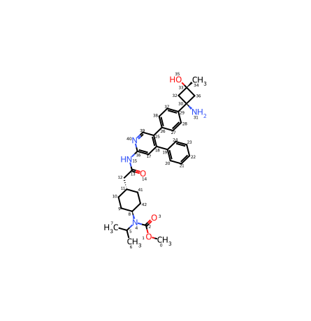 COC(=O)N(C(C)C)[C@H]1CC[C@H](CC(=O)Nc2cc(-c3ccccc3)c(-c3ccc([C@]4(N)C[C@](C)(O)C4)cc3)cn2)CC1